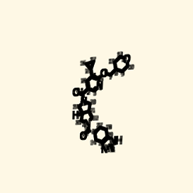 O=C(c1cnc(OCC2CCOCC2)c(C2CC2)c1)N1CC2CN(C(=O)[C@@H]3CCc4[nH]nnc4C3)C[C@H]2C1